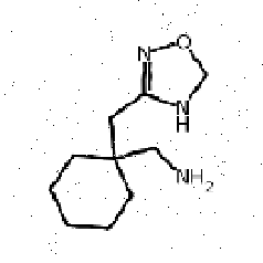 NCC1(CC2=NOCN2)CCCCC1